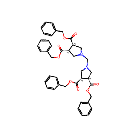 O=C(OCc1ccccc1)[C@H]1CN(CN2C[C@H](C(=O)OCc3ccccc3)[C@@H](C(=O)OCc3ccccc3)C2)C[C@@H]1C(=O)OCc1ccccc1